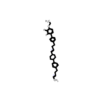 C/C=C/CCc1ccc(C2CCC(/C=C/CCc3ccc(-c4ccc(OCC)c(F)c4F)cc3)CC2)cc1